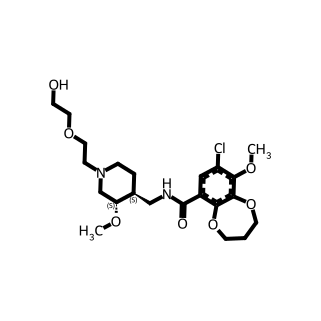 COc1c(Cl)cc(C(=O)NC[C@@H]2CCN(CCOCCO)C[C@H]2OC)c2c1OCCCO2